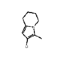 Cc1c(Cl)cc2n1CCCC2